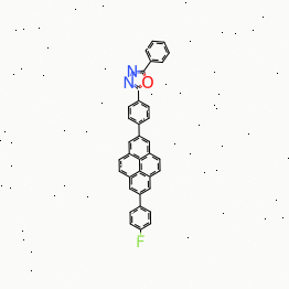 Fc1ccc(-c2cc3ccc4cc(-c5ccc(-c6nnc(-c7ccccc7)o6)cc5)cc5ccc(c2)c3c45)cc1